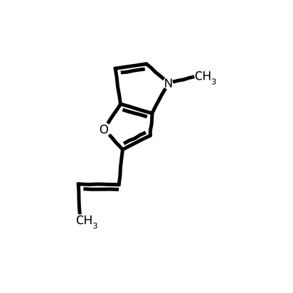 C/C=C/c1cc2c(ccn2C)o1